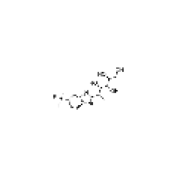 CC(c1nc2cc(C(F)(F)F)ccc2[nH]1)[C@@H](O)[C@H](O)C(O)CO